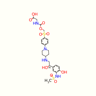 CS(=O)(=O)Nc1cc([C@@H](O)CNC2CCN(c3ccc(S(=O)(=O)COC(=O)NCC(=O)O)cc3)CC2)ccc1O